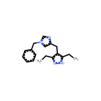 CCc1n[nH]c(CC)c1Cc1cn(Cc2ccccc2)cn1